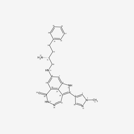 Cn1cc(-c2[nH]c3cc(NC[C@H](N)CCc4ccccc4)cc4c3c2C=NNC4=O)cn1